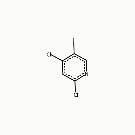 Clc1cc(Cl)c(I)cn1